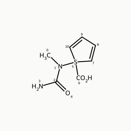 CN(C(N)=O)S1(C(=O)O)C=CC=C1